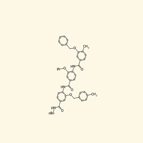 CCCCNC(=O)c1ccc(NC(=O)c2ccc(NC(=O)c3ccc(C)c(OCc4ccccc4)c3)c(OC(C)C)c2)c(OCc2ccc(C)cc2)c1